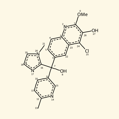 COc1nc2ccc(C(O)(c3ccc(C)nc3)c3nccn3C)cc2c(Cl)c1O